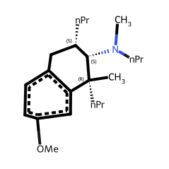 CCC[C@H]1Cc2ccc(OC)cc2[C@@](C)(CCC)[C@H]1N(C)CCC